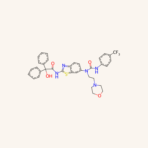 O=C(Nc1ccc(C(F)(F)F)cc1)N(CCN1CCOCC1)c1ccc2nc(NC(=O)C(O)(c3ccccc3)c3ccccc3)sc2c1